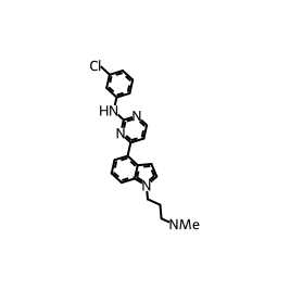 CNCCCn1ccc2c(-c3ccnc(Nc4cccc(Cl)c4)n3)cccc21